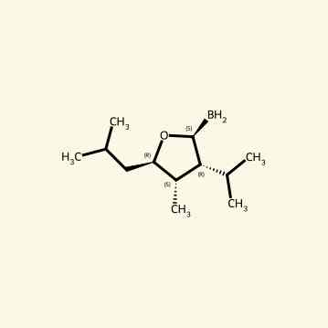 B[C@@H]1O[C@H](CC(C)C)[C@@H](C)[C@H]1C(C)C